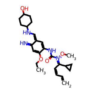 C=C/C=C\C(C1CC1)=[N+](\OC)C(=O)NC1=C/C(=C/NC2CCC(O)CC2)C(=N)C=C1OCC